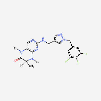 CCN1C(=O)[C@@](C)(CC)N(CC)c2nc(NCc3cnn(Cc4cc(F)c(F)c(F)c4)c3)ncc21